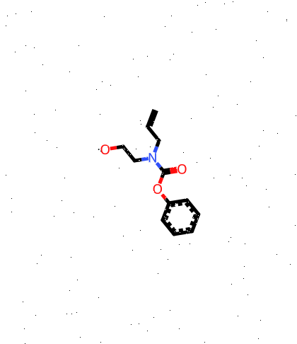 C=CCN(CC[O])C(=O)Oc1ccccc1